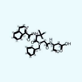 CC(C)(C)[C@H](NC(=O)c1nccc2ccccc12)C(=O)N(CC(=O)NC(C=O)CC(=O)O)Cc1ccccc1